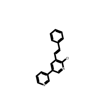 Clc1ncc(-c2cccnc2)cc1/C=C/c1ccccc1